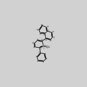 [O-][n+]1c(-c2ccccc2)cccc1-c1cccc2ccccc12